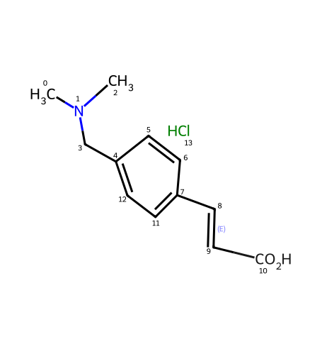 CN(C)Cc1ccc(/C=C/C(=O)O)cc1.Cl